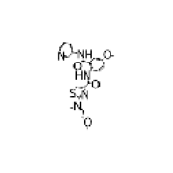 COCCN(C)c1nc(C(=O)Nc2ccc(OC)cc2C(=O)Nc2cccnc2)cs1